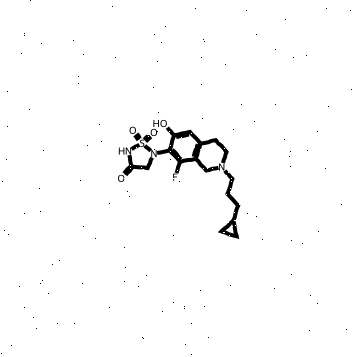 O=C1CN(c2c(O)cc3c(c2F)CN(CCCC2CC2)CC3)S(=O)(=O)N1